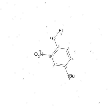 [CH2]COc1ccc(C(C)(C)C)cc1[N+](=O)[O-]